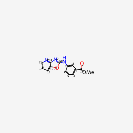 COC(=O)c1cccc(Nc2nc3ncccc3o2)c1